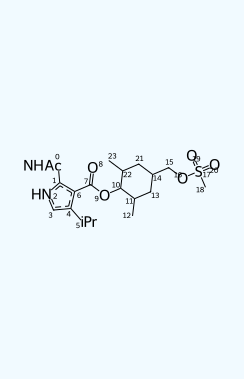 CC(=O)Nc1[nH]cc(C(C)C)c1C(=O)OC1C(C)CC(COS(C)(=O)=O)CC1C